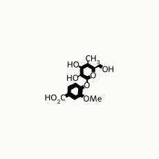 COc1cc(C(=O)O)ccc1O[C@@H]1O[C@H](CO)[C@@H](C)[C@H](O)[C@H]1O